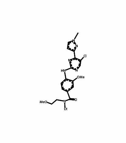 CCN(CCOC)C(=O)c1ccc(Nc2ncc(Cl)c(-c3ccn(C)n3)n2)c(OC)c1